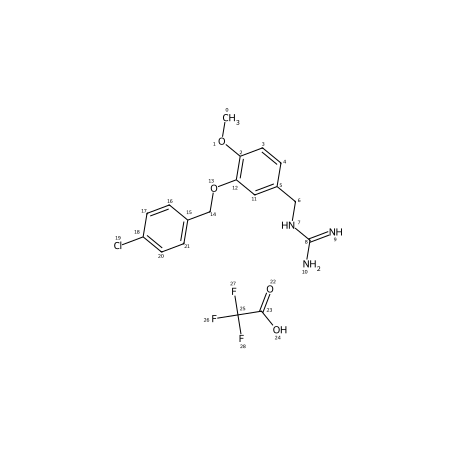 COc1ccc(CNC(=N)N)cc1OCc1ccc(Cl)cc1.O=C(O)C(F)(F)F